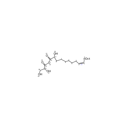 CCCCCCCC/C=C\CCCCCCC(O)C(=O)OC(=O)C(O)CO